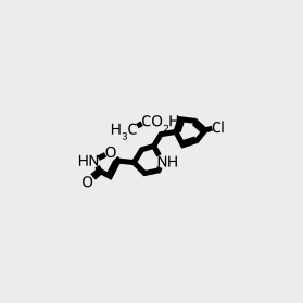 CC(=O)O.O=c1cc(C2CCNC(Cc3ccc(Cl)cc3)C2)o[nH]1